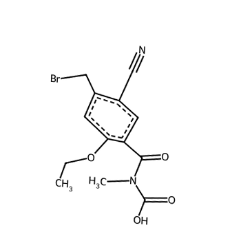 CCOc1cc(CBr)c(C#N)cc1C(=O)N(C)C(=O)O